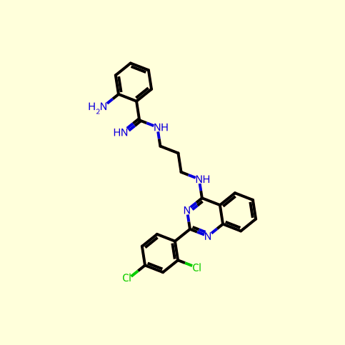 N=C(NCCCNc1nc(-c2ccc(Cl)cc2Cl)nc2ccccc12)c1ccccc1N